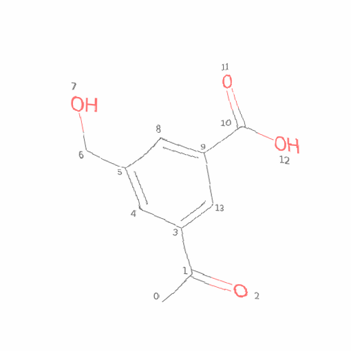 CC(=O)c1cc(CO)cc(C(=O)O)c1